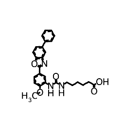 COc1ccc(-c2nc3cc(-c4ccccc4)ccc3o2)cc1NC(=O)NCCCCCC(=O)O